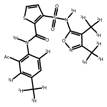 [2H]c1cc(C([2H])([2H])[2H])c([2H])c(C(C)=O)c1N([2H])C(=O)c1sccc1S(=O)(=O)N([2H])c1onc(C([2H])([2H])[2H])c1C([2H])([2H])[2H]